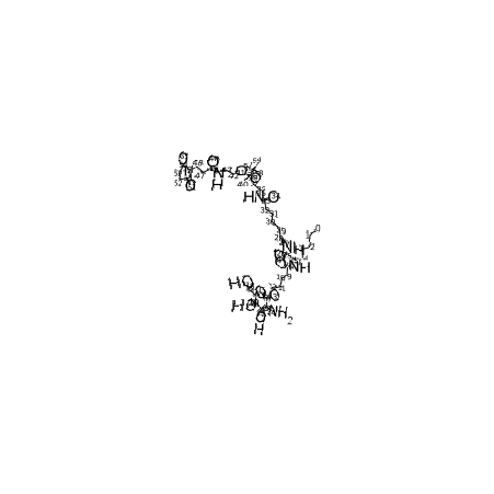 CCCCC[C@H](NC(=O)CCCCO[C@@H]1OC(CO)[C@H](O)C(O)[C@@H]1N)C(=O)NCCCCCC(=O)NCCOC(C)(OCCNC(=O)CCN1C(=O)C=CC1=O)C(C)(C)C